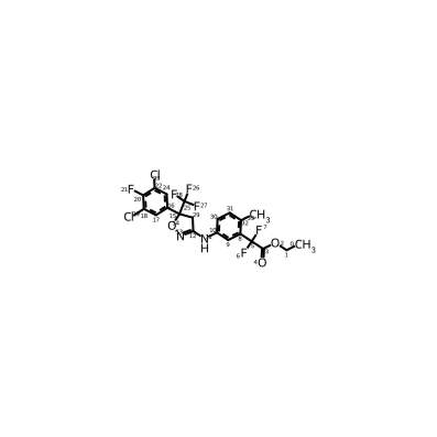 CCOC(=O)C(F)(F)c1cc(NC2=NOC(c3cc(Cl)c(F)c(Cl)c3)(C(F)(F)F)C2)ccc1C